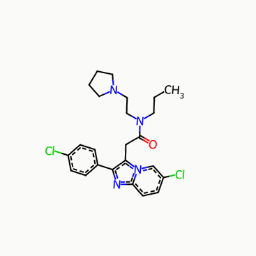 CCCN(CCN1CCCC1)C(=O)Cc1c(-c2ccc(Cl)cc2)nc2ccc(Cl)cn12